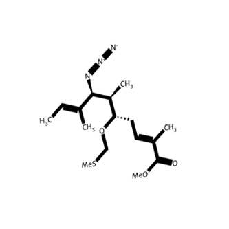 C/C=C(\C)[C@@H](N=[N+]=[N-])[C@@H](C)[C@H](C/C=C(\C)C(=O)OC)OCSC